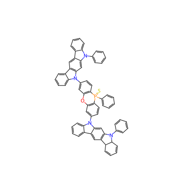 S=P1(c2ccccc2)c2ccc(-n3c4ccccc4c4cc5c(cc43)N(c3ccccc3)C3C=CC=CC53)cc2Oc2cc(-n3c4ccccc4c4cc5c6ccccc6n(-c6ccccc6)c5cc43)ccc21